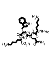 CC(=O)N[C@@H](CCCCN)C(=O)N[C@@H](CCC(N)=O)C(=O)N[C@@H](Cc1c[nH]c2ccccc12)C(=O)N[C@@H](CCCCN)C(=O)O